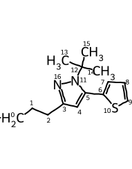 [CH2]CCc1cc(-c2cccs2)n(C(C)(C)C)n1